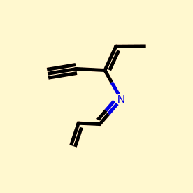 C#CC(=C/C)/N=C\C=C